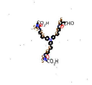 O=CCC1C(=O)/C(=C\c2ccc(-c3ccc(-c4ccc(N(c5ccc(-c6ccc(-c7ccc(/C=C8\SC(=S)N(CC(=O)O)C8=O)s7)s6)cc5)c5ccc(-c6ccc(-c7ccc(/C=C8/SC(=S)N(CC(=O)O)C8=O)s7)s6)cc5)cc4)s3)s2)SC1=S